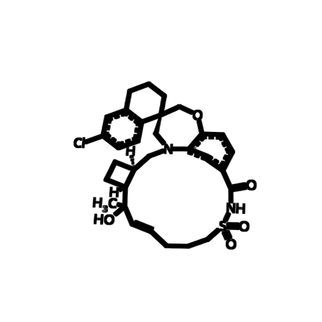 CC1(O)/C=C/CCCS(=O)(=O)NC(=O)c2ccc3c(c2)N(C[C@@H]2CC[C@H]21)C[C@@]1(CCCc2cc(Cl)ccc21)CO3